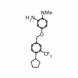 CNc1ccc(OCc2ccc(C3CCCC3)c(C(F)(F)F)c2)cc1N